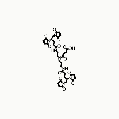 O=C(O)CCC(=O)N(CCCNC(=O)CCC(CN1C(=O)C=CC1=O)N1C(=O)C=CC1=O)CCNC(=O)CCC(CN1C(=O)C=CC1=O)N1C(=O)C=CC1=O